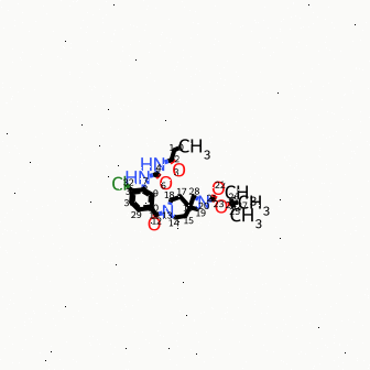 CCC(=O)NC(=O)Nc1cc(C(=O)N2CCC3(CC2)CN(C(=O)OC(C)(C)C)C3)ccc1Cl